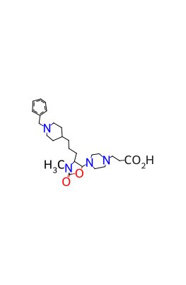 CN1C(=O)OC(N2CCN(CCC(=O)O)CC2)C1CCCC1CCN(Cc2ccccc2)CC1